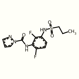 CCCS(=O)(=O)Nc1ccc(F)c(NC(=O)n2cccn2)c1F